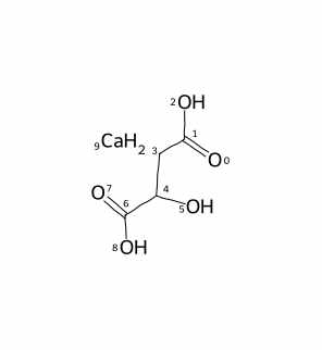 O=C(O)CC(O)C(=O)O.[CaH2]